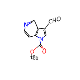 CC(C)(C)OC(=O)n1cc(C=O)c2cnccc21